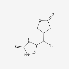 CCC(c1c[nH]c(=S)[nH]1)C1COC(=O)C1